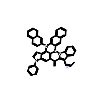 C=C1c2cc3c(ccn3-c3ccccc3)c3c2B(c2cc4ccccc4cc2N3c2ccc3ccccc3c2)n2c1c(/C=C\C)c1ccccc12